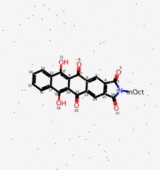 CCCCCCCCn1c(=O)c2cc3c(=O)c4c(O)c5ccccc5c(O)c4c(=O)c3cc2c1=O